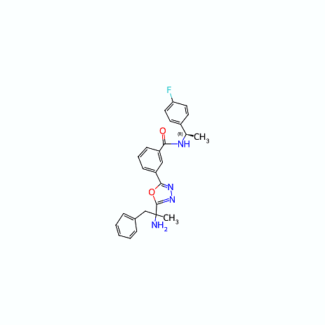 C[C@@H](NC(=O)c1cccc(-c2nnc(C(C)(N)Cc3ccccc3)o2)c1)c1ccc(F)cc1